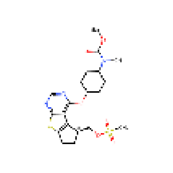 CN(C(=O)OC(C)(C)C)[C@H]1CC[C@H](Oc2ncnc3sc4c(c23)[C@@H](COS(C)(=O)=O)CC4)CC1